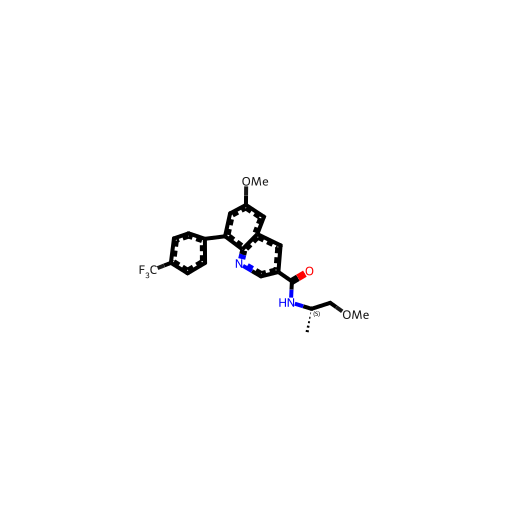 COC[C@H](C)NC(=O)c1cnc2c(-c3ccc(C(F)(F)F)cc3)cc(OC)cc2c1